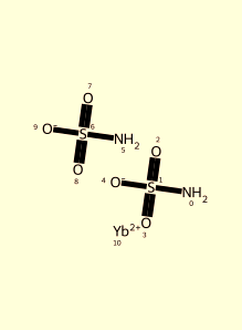 NS(=O)(=O)[O-].NS(=O)(=O)[O-].[Yb+2]